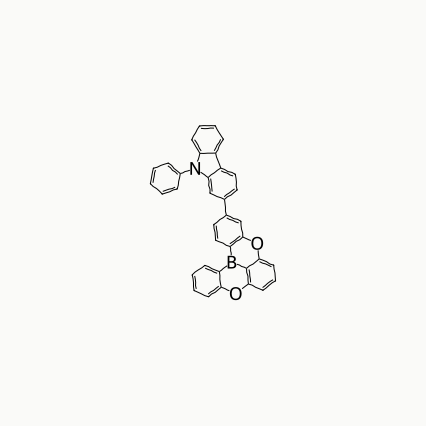 c1ccc(-n2c3ccccc3c3ccc(-c4ccc5c(c4)Oc4cccc6c4B5c4ccccc4O6)cc32)cc1